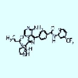 C=CC(=O)N1C2CN[C@@H](C2)C1c1nc(-c2ccc(C(=O)Nc3cc(C(F)(F)F)ccn3)cc2)c2c(N)nccn12